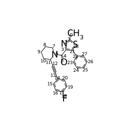 Cc1nc(C(=O)N2CCCCC2C#Cc2ccc(F)cc2)c(-c2ccccc2)s1